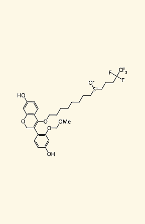 COCOc1cc(O)ccc1C1=C(OCCCCCCCC[S+]([O-])CCCC(F)(F)C(F)(F)F)c2ccc(O)cc2OC1